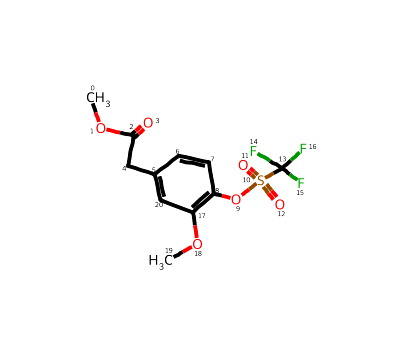 COC(=O)Cc1ccc(OS(=O)(=O)C(F)(F)F)c(OC)c1